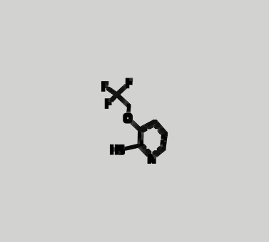 FC(F)(F)COc1cccnc1S